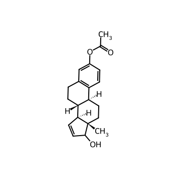 CC(=O)Oc1ccc2c(c1)CC[C@@H]1[C@@H]2CC[C@]2(C)C(O)C=C[C@@H]12